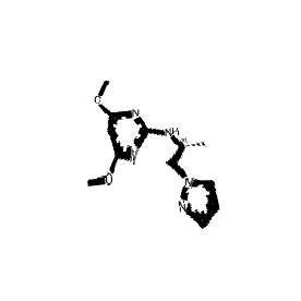 COc1cc(OC)nc(N[C@H](C)Cn2cccn2)n1